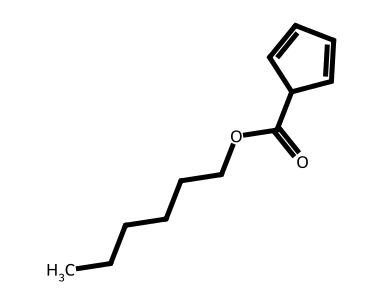 CCCCCCOC(=O)C1C=CC=C1